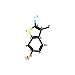 Cc1c(F)sc2cc(Br)ccc12